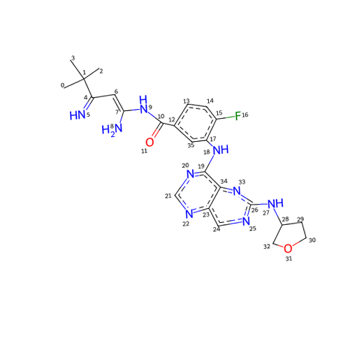 CC(C)(C)C(=N)/C=C(\N)NC(=O)c1ccc(F)c(Nc2ncnc3cnc(NC4CCOC4)nc23)c1